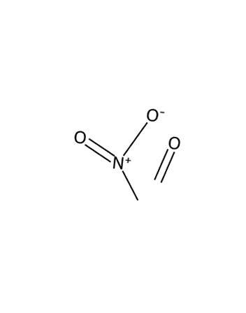 C=O.C[N+](=O)[O-]